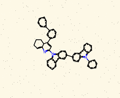 C1=C2N=C(n3c4ccccc4c4cc(-c5ccc6c(c5)c5ccccc5n6-c5ccccc5)ccc43)C=C(c3cccc(-c4ccccc4)c3)C2CCC1